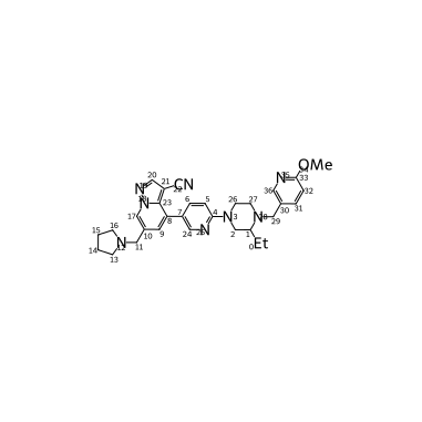 CCC1CN(c2ccc(-c3cc(CN4CCCC4)cn4ncc(C#N)c34)cn2)CCN1Cc1ccc(OC)nc1